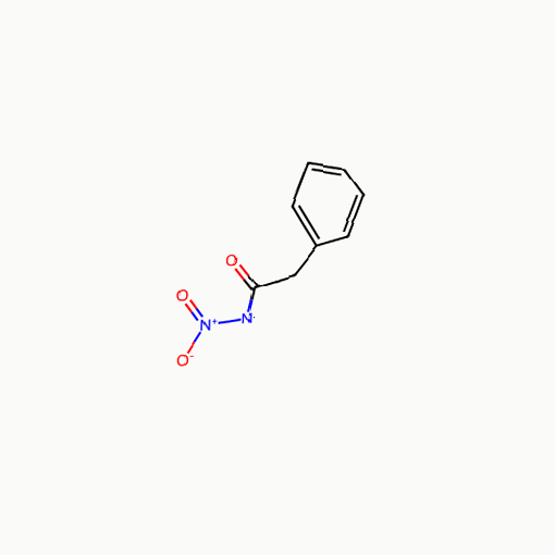 O=C(Cc1ccccc1)[N][N+](=O)[O-]